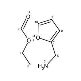 CCOC=O.NCc1ccco1